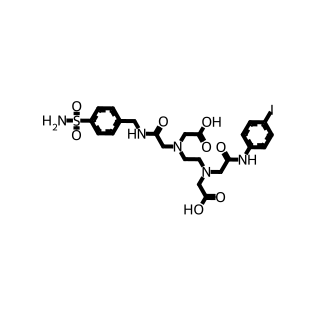 NS(=O)(=O)c1ccc(CNC(=O)CN(CCN(CC(=O)O)CC(=O)Nc2ccc(I)cc2)CC(=O)O)cc1